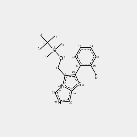 CC(C)(C)[Si](C)(C)OCc1c(-c2ccccc2F)sc2cncn12